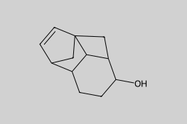 OC1CCC2C3C=CC4(C3)CC1C24